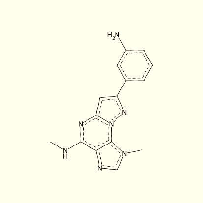 CNc1nc2cc(-c3cccc(N)c3)nn2c2c1ncn2C